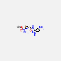 CC(C)(C)OC(=O)N(N)c1nc(CC(=O)Nc2n[nH]c3ccc(N)cc23)cs1